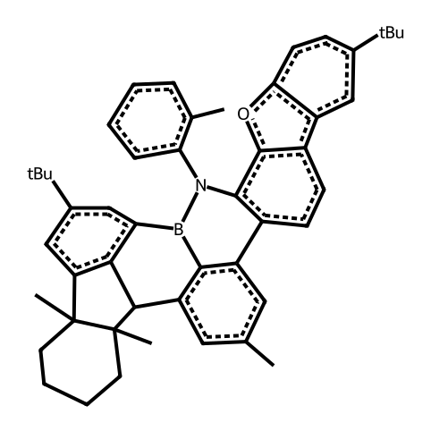 Cc1cc2c3c(c1)C1c4c(cc(C(C)(C)C)cc4C4(C)CCCCC14C)B3N(c1ccccc1C)c1c-2ccc2c1oc1ccc(C(C)(C)C)cc12